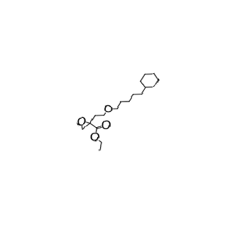 CCOC(=O)C1(CCOCCCCCC2CCCCC2)CO1